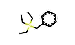 CCS(CC)(CC)Cc1ccccc1